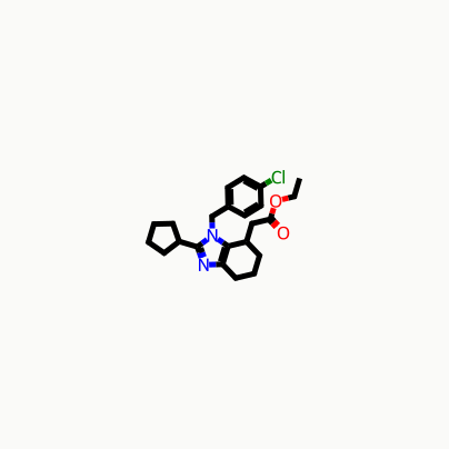 CCOC(=O)CC1CCCc2nc(C3CCCC3)n(Cc3ccc(Cl)cc3)c21